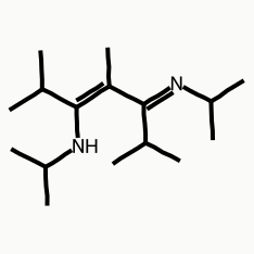 CC(C(=NC(C)C)C(C)C)=C(NC(C)C)C(C)C